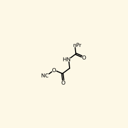 CCCC(=O)NCC(=O)OC#N